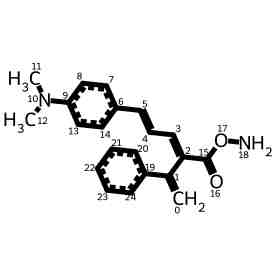 C=C(/C(=C\C=C\c1ccc(N(C)C)cc1)C(=O)ON)c1ccccc1